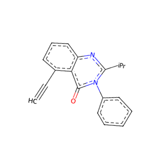 C#Cc1cccc2nc(C(C)C)n(-c3ccccc3)c(=O)c12